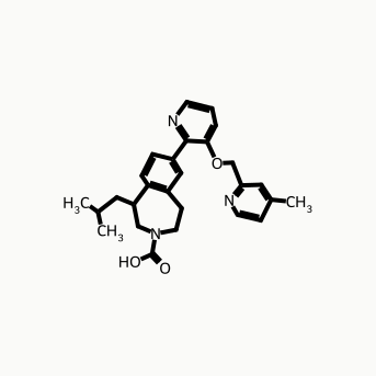 Cc1ccnc(COc2cccnc2-c2ccc3c(c2)CCN(C(=O)O)CC3CC(C)C)c1